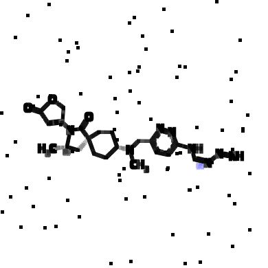 C[C@H]1C[C@]2(CC[C@@H](N(C)Cc3ccc(N/C=N\N=N)nn3)CC2)C(=O)N1C1=CC(=O)OC1